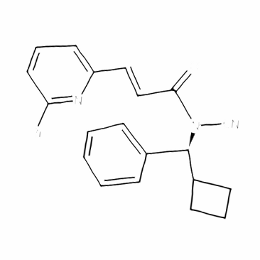 N#CN(C(=O)/C=C/c1cccc(Br)n1)[C@H](c1ccccc1)C1CCC1